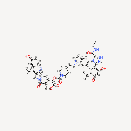 CCNC(=O)C1NN=C(c2cc(C(C)C)c(O)cc2O)N1c1ccc2c(ccn2CCC2CCN(C(=O)OC3C(=O)OCc4c3cc3n(c4=O)Cc4c-3nc3ccc(O)cc3c4CC)CC2)c1